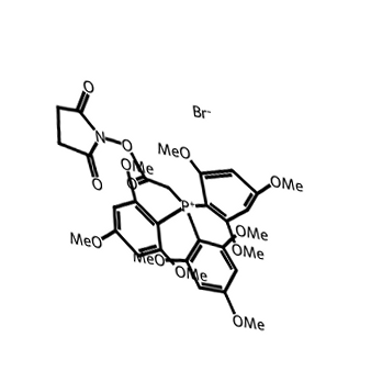 COc1cc(OC)c([P+](CC(=O)ON2C(=O)CCC2=O)(c2c(OC)cc(OC)cc2OC)c2c(OC)cc(OC)cc2OC)c(OC)c1.[Br-]